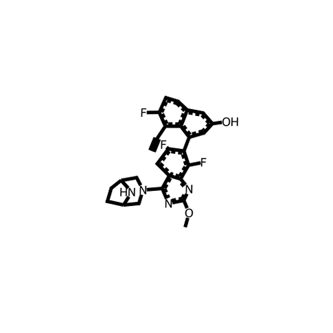 C#Cc1c(F)ccc2cc(O)cc(-c3c(F)cc4c(N5CC6CCC(C5)N6)nc(OC)nc4c3F)c12